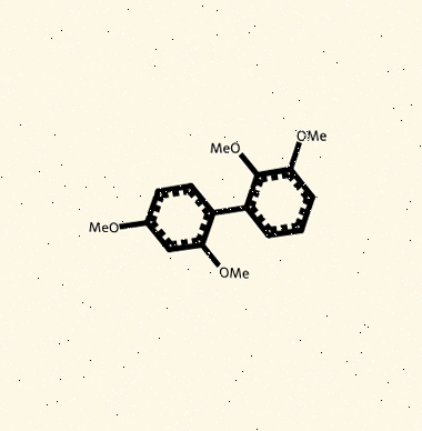 COc1ccc(-c2cc[c]c(OC)c2OC)c(OC)c1